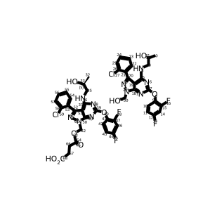 CC(O)CNc1nc(Oc2ccc(F)cc2F)nc2c1c(-c1ccccc1Cl)nn2CO.C[C@H](O)CNc1nc(Oc2ccc(F)cc2F)nc2c1c(-c1ccccc1Cl)nn2COC(=O)CCC(=O)O